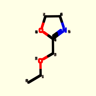 CCOCC1=NCCO1